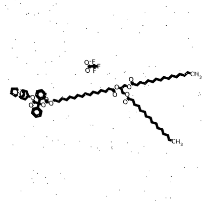 CCCCCCCCCCCCCCCC(=O)OCC(COC(=O)CCCCCCCCCCCCCCC)OC(=O)CCCCCCCCCCCCCCCOC(=O)OC(C(=O)OC1CC2CCC(C1)[N+]21CCCC1)(c1ccccc1)c1ccccc1.O=C([O-])C(F)(F)F